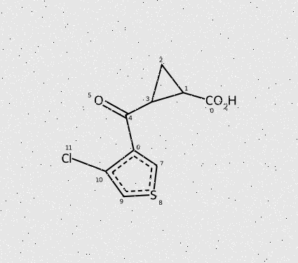 O=C(O)C1CC1C(=O)c1cscc1Cl